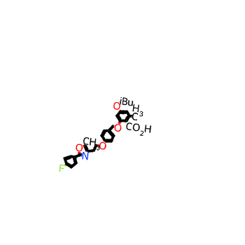 CCC(C)Oc1cc(C)c(C(=O)O)c(OCc2ccc(OCCc3nc(-c4ccc(F)cc4)oc3C)cc2)c1